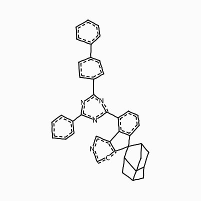 c1ccc(-c2ccc(-c3nc(-c4ccccc4)nc(-c4cccc5c4-c4cnccc4C54C5CC6CC(C5)CC4C6)n3)cc2)cc1